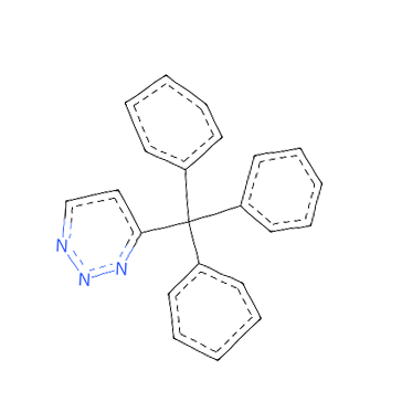 c1ccc(C(c2ccccc2)(c2ccccc2)c2ccnnn2)cc1